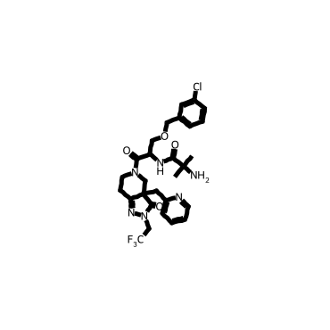 CC(C)(N)C(=O)NC(COCc1cccc(Cl)c1)C(=O)N1CCC2=NN(CC(F)(F)F)C(=O)C2(Cc2ccccn2)C1